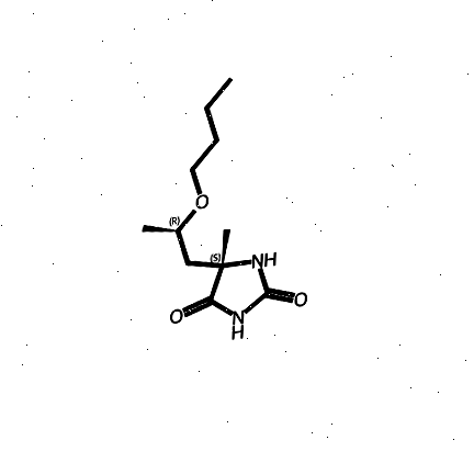 CCCCO[C@H](C)C[C@]1(C)NC(=O)NC1=O